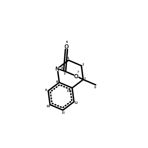 CC12CCN(C(=O)O1)c1ccccc12